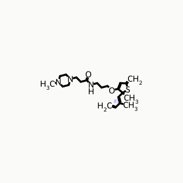 C=C/C(C)=C/C1(C)SC(=C)C=C1OCCCNC(=O)CCN1CCN(C)CC1